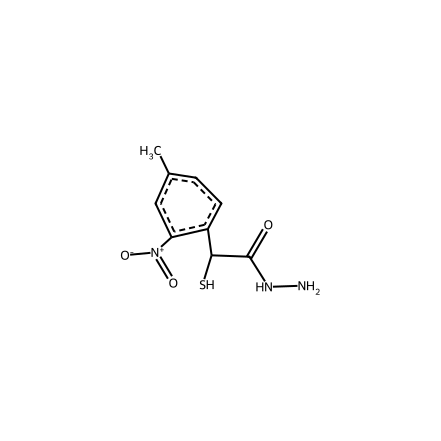 Cc1ccc(C(S)C(=O)NN)c([N+](=O)[O-])c1